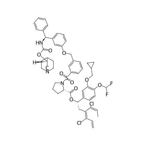 C=C/C(Cl)=C(C[C@H](OC(=O)[C@@H]1CCCN1S(=O)(=O)c1cccc(COc2cccc([C@@H](NC(=O)O[C@H]3CN4CCC3CC4)c3ccccc3)c2)c1)c1ccc(OC(F)F)c(OCC2CC2)c1)\C(Cl)=C/C